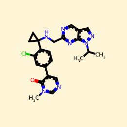 CC(C)n1ncc2cnc(CNC3(c4ccc(-c5cncn(C)c5=O)cc4Cl)CC3)nc21